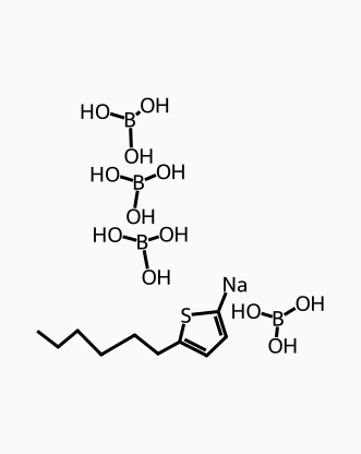 CCCCCCc1cc[c]([Na])s1.OB(O)O.OB(O)O.OB(O)O.OB(O)O